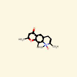 CCCc1c2c(cc3c(=O)cc(C(=O)O)oc13)CC=C(C(=O)O)[N+]2([O-])CC